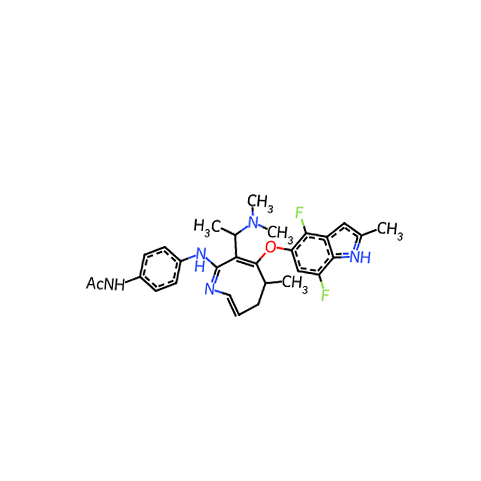 CC(=O)Nc1ccc(NC2=N/C=C/CC(C)/C(Oc3cc(F)c4[nH]c(C)cc4c3F)=C\2C(C)N(C)C)cc1